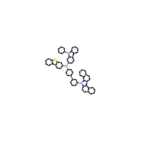 c1ccc(-n2c3ccccc3c3ccc(N(c4ccc(-c5cccc(-n6c7ccc8ccccc8c7c7ccc8ccccc8c76)c5)cc4)c4ccc5c(c4)sc4ccccc45)cc32)cc1